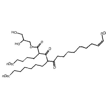 CCCCCCCC/C=C\CCCCCCCC(=O)C(CCCCCCCCCCCCCCCC)C(=O)C(CCCCCCCCCCCCCC)C(=O)OCC(O)CO